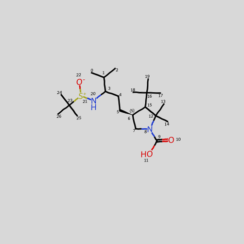 CC(C)C(CC[C@@H]1CN(C(=O)O)C(C)(C)C1C(C)(C)C)N[S+]([O-])C(C)(C)C